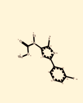 CCN(C(=O)OC(C)(C)C)c1sc(-c2cncc(F)c2)nc1F